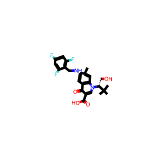 Cc1cc2c(cc1NCc1c(F)cc(F)cc1F)c(=O)c(C(=O)O)cn2[C@H](CO)C(C)(C)C